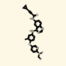 Cc1cc(Nc2ncnc3ccc(NC(=O)C#CC4CC4)cc23)ccc1Oc1ccc(N(F)CF)nc1